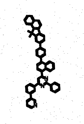 CC1(C)c2cc(-c3ccc(-c4ccc(-c5cc(-c6cccc(-c7cccnc7)c6)nc(-c6ccccc6)n5)c5ccccc45)cc3)ccc2-c2ccc3ccccc3c21